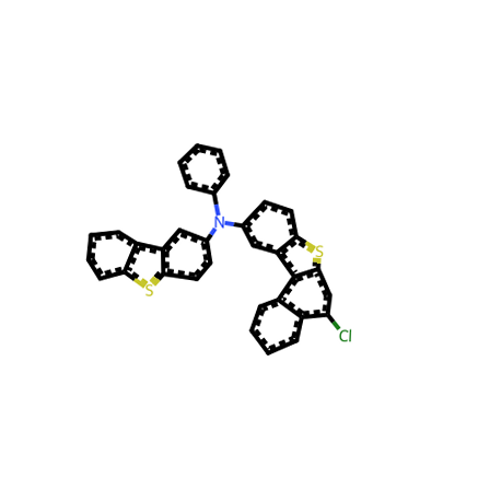 Clc1cc2sc3ccc(N(c4ccccc4)c4ccc5sc6ccccc6c5c4)cc3c2c2ccccc12